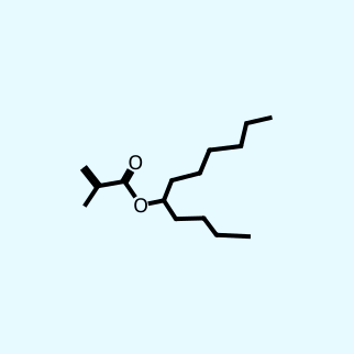 C=C(C)C(=O)OC(CCCC)CCCCCC